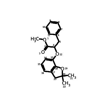 COC(=O)C(Cc1ccccc1)Oc1cccc2c1OC(C)(C)C2